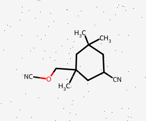 CC1(C)CC(C#N)CC(C)(COC#N)C1